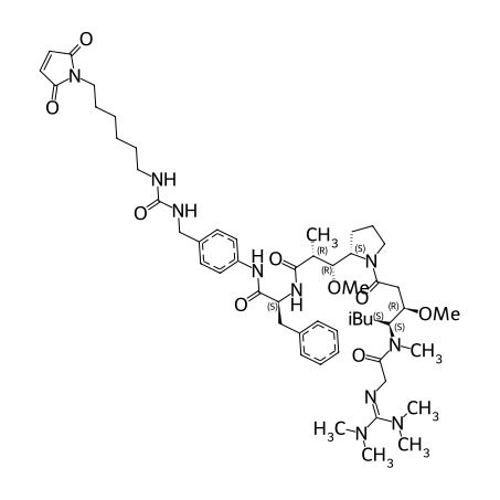 CC[C@H](C)[C@@H]([C@@H](CC(=O)N1CCC[C@H]1[C@H](OC)[C@@H](C)C(=O)N[C@@H](Cc1ccccc1)C(=O)Nc1ccc(CNC(=O)NCCCCCCN2C(=O)C=CC2=O)cc1)OC)N(C)C(=O)CN=C(N(C)C)N(C)C